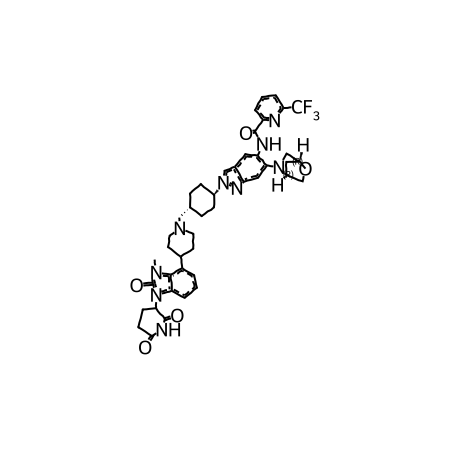 Cn1c(=O)n(C2CCC(=O)NC2=O)c2cccc(C3CCN(C[C@H]4CC[C@H](n5cc6cc(NC(=O)c7cccc(C(F)(F)F)n7)c(N7C[C@H]8C[C@@H]7CO8)cc6n5)CC4)CC3)c21